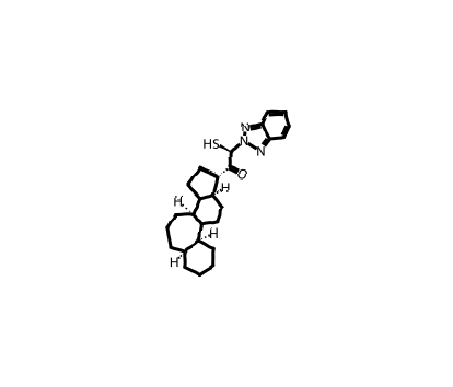 O=C([C@H]1CCC2[C@@H]3CCC[C@@H]4CCCC[C@@H]4C3CC[C@@H]21)[C@@H](S)n1nc2ccccc2n1